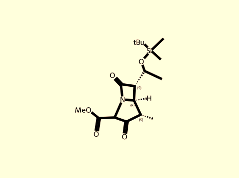 COC(=O)C1C(=O)[C@@H](C)[C@@H]2[C@@H](C(C)O[Si](C)(C)C(C)(C)C)C(=O)N12